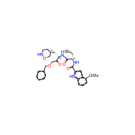 COc1cccc2[nH]c(C(=O)N[C@@H](CC(C)(C)C)C(=O)N[C@@H](C[C@@H]3CCNOC3)C(=O)COCc3ccccc3)cc12